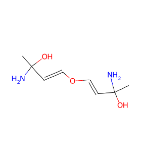 CC(N)(O)C=COC=CC(C)(N)O